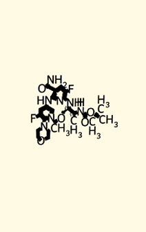 CCOC[C@@H](Nc1nc(Nc2cnc(N3CCOCC3)c(F)c2)c(C(N)=O)cc1F)[C@H](C)NC(=O)OC(C)(C)C